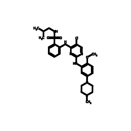 COc1ccc(N2CCN(C)CC2)cc1Nc1ncc(Cl)c(Nc2ccccc2S(=O)(=O)NCC(C)C)n1